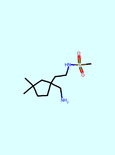 CC1(C)CCC(CN)(CCNS(C)(=O)=O)C1